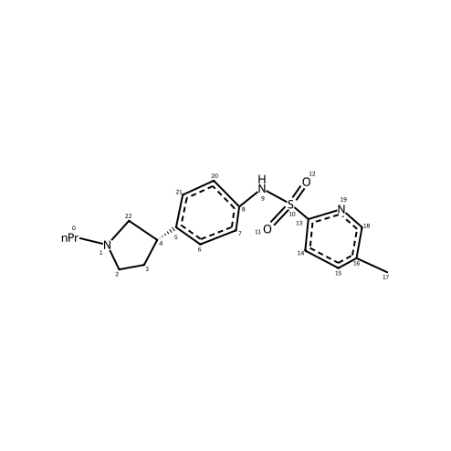 CCCN1CC[C@@H](c2ccc(NS(=O)(=O)c3ccc(C)cn3)cc2)C1